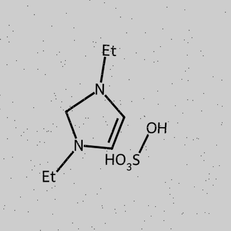 CCN1C=CN(CC)C1.O=S(=O)(O)O